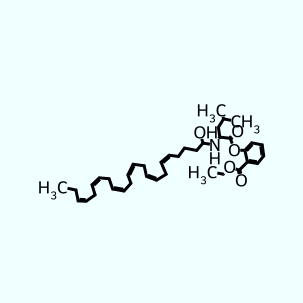 CC/C=C\C/C=C\C/C=C\C/C=C\C/C=C\C/C=C\CCCC(O)NC(CC(C)C)C(=O)Oc1ccccc1C(=O)OCC